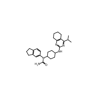 CN(C)c1nc(NC2CCC(N(C(N)=O)c3ccc4c(c3)CCC4)CC2)nc2c1CCCC2